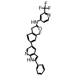 O=C(Cc1ccc(-c2cnc3[nH]c(-c4ccccc4)cc3c2)cc1F)Nc1ccnc(C(F)(F)F)c1